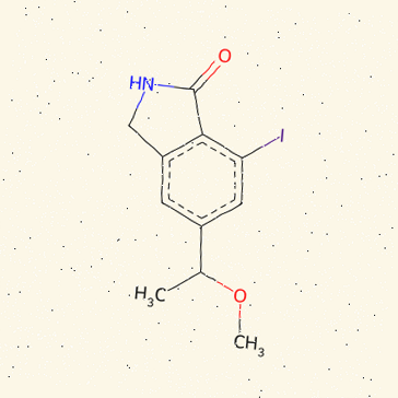 COC(C)c1cc(I)c2c(c1)CNC2=O